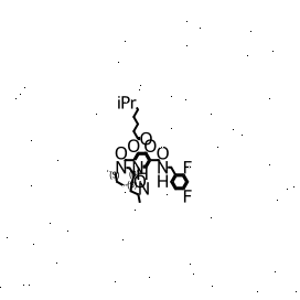 CC1=NO[C@@]2(CC[C@H](C)N3C[C@H]2n2cc(C(=O)NCc4ccc(F)cc4F)c(=O)c(OC(=O)CCCCC(C)C)c2C3=O)C1